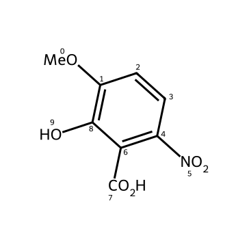 COc1ccc([N+](=O)[O-])c(C(=O)O)c1O